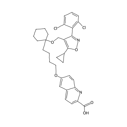 O=C(O)c1ccc2cc(OCCCCC3(OCc4c(-c5c(Cl)cccc5Cl)noc4C4CC4)CCCCC3)ccc2n1